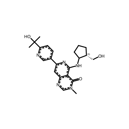 Cn1cnc2cc(-c3ccc(C(C)(C)O)nc3)nc(NC3CCC[C@@H]3CO)c2c1=O